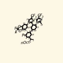 CCCCCCCCC(C)c1cc(F)cc(-c2ccc(-n3cc(C(F)(F)F)nc3C)c(-c3nc(C(F)(F)F)cn3-c3ccc4c(c3)OC(F)(F)O4)c2)c1